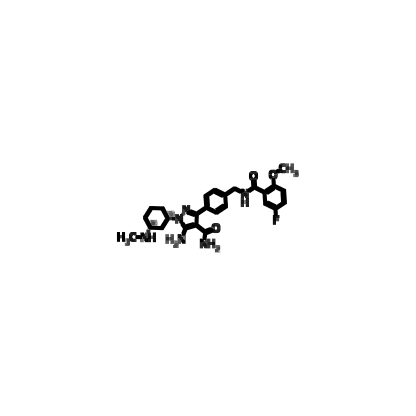 CN[C@@H]1CCC[C@H](n2nc(-c3ccc(CNC(=O)c4cc(F)ccc4OC)cc3)c(C(N)=O)c2N)C1